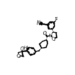 N#Cc1cc(F)cc([C@@H]2CCON2C(=O)[C@H]2CC[C@H](Cc3ccc(C4(O)COC4)cc3)CC2)c1